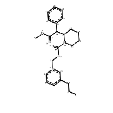 CCCc1ccc[n+](COC(=O)N2CCCCC2C(C(=O)OC)c2ccccc2)c1